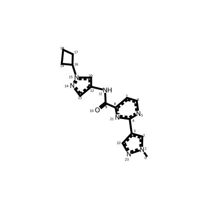 Cn1cc(-c2nccc(C(=O)Nc3cnn(C4CCC4)c3)n2)cn1